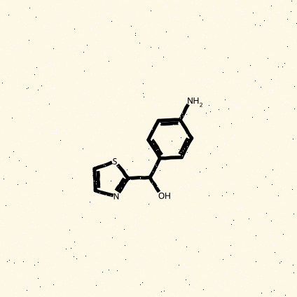 Nc1ccc(C(O)c2nccs2)cc1